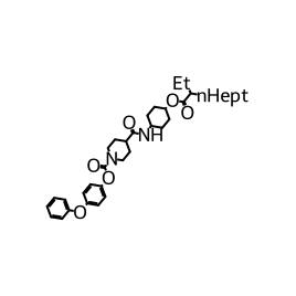 CCCCCCCC(CC)C(=O)OC1CCC(NC(=O)C2CCN(C(=O)Oc3ccc(Oc4ccccc4)cc3)CC2)CC1